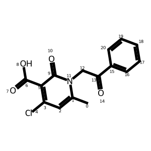 Cc1cc(Cl)c(C(=O)O)c(=O)n1CC(=O)c1ccccc1